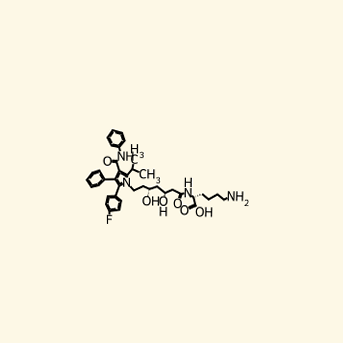 CC(C)c1c(C(=O)Nc2ccccc2)c(-c2ccccc2)c(-c2ccc(F)cc2)n1CC[C@@H](O)C[C@@H](O)CC(=O)N[C@H](CCCCN)C(=O)O